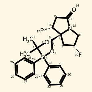 CC(C)(C)[Si](OC[C@]12C[C@@H](F)CN1C(=O)C[C@H]2F)(c1ccccc1)c1ccccc1